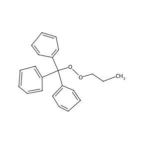 CCCOOC(c1ccccc1)(c1ccccc1)c1ccccc1